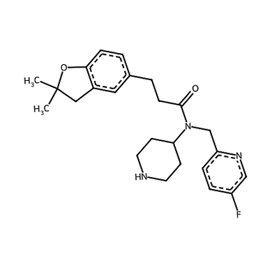 CC1(C)Cc2cc(CCC(=O)N(Cc3ccc(F)cn3)C3CCNCC3)ccc2O1